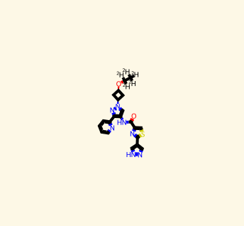 [2H]C([2H])([2H])C([2H])([2H])O[C@H]1C[C@@H](n2cc(NC(=O)c3csc(-c4cn[nH]c4)n3)c(-c3ccccn3)n2)C1